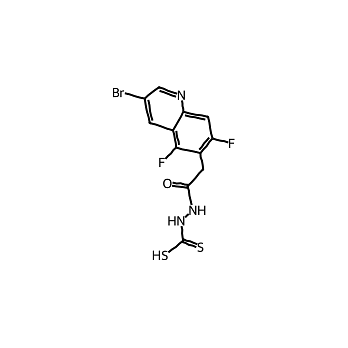 O=C(Cc1c(F)cc2ncc(Br)cc2c1F)NNC(=S)S